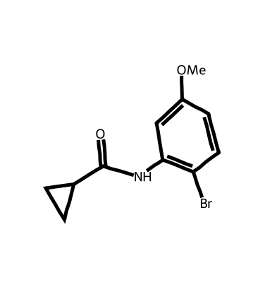 COc1ccc(Br)c(NC(=O)C2CC2)c1